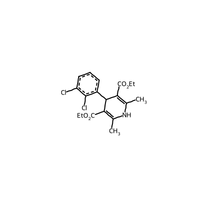 CCOC(=O)C1=C(C)NC(C)=C(C(=O)OCC)C1c1cccc(Cl)c1Cl